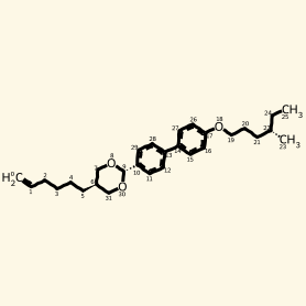 C=CCCCC[C@H]1CO[C@H](c2ccc(-c3ccc(OCCC[C@@H](C)CC)cc3)cc2)OC1